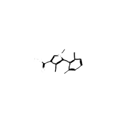 Cc1cccc(C)c1-c1c(C)c(C(=O)O)cn1C